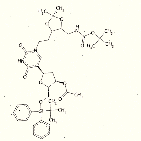 CC(=O)O[C@@H]1C[C@H](c2cn(CCC3OC(C)(C)OC3CNC(=O)OC(C)(C)C)c(=O)[nH]c2=O)O[C@@H]1CO[Si](c1ccccc1)(c1ccccc1)C(C)(C)C